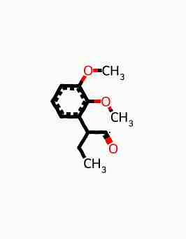 CCC([C]=O)c1cccc(OC)c1OC